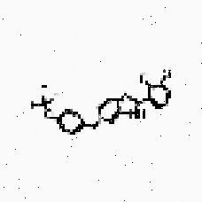 Fc1c(Cl)cccc1C1N=C2C=CN(Cc3ccc(OC(F)(F)F)cc3)C=C2N1